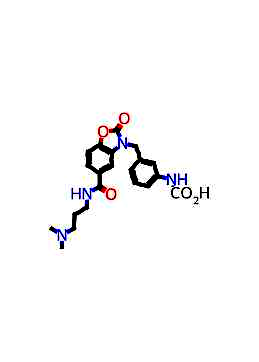 CN(C)CCCNC(=O)c1ccc2oc(=O)n(Cc3cccc(NC(=O)O)c3)c2c1